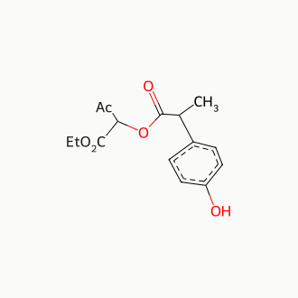 CCOC(=O)C(OC(=O)C(C)c1ccc(O)cc1)C(C)=O